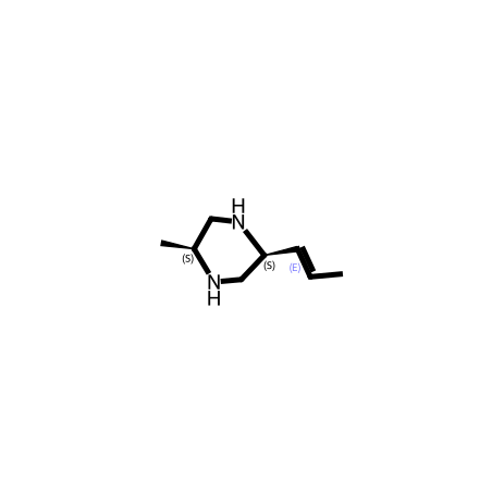 C/C=C/[C@H]1CN[C@@H](C)CN1